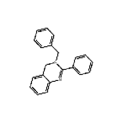 c1ccc(CN2Cc3ccccc3N=C2c2ccccc2)cc1